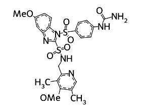 COc1ccc2c(c1)nc(S(=O)(=O)NCc1ncc(C)c(OC)c1C)n2S(=O)(=O)c1ccc(NC(N)=O)cc1